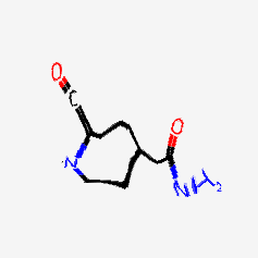 NC(=O)C1CC[N]C(=C=O)C1